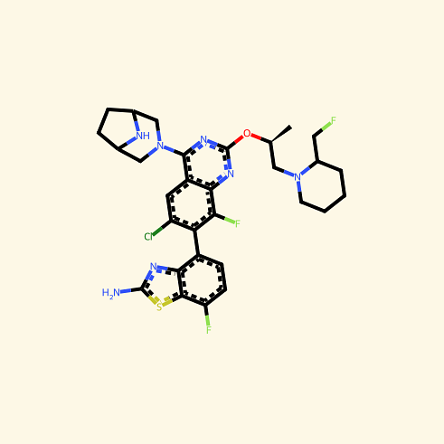 C[C@@H](CN1CCCCC1CF)Oc1nc(N2CC3CCC(C2)N3)c2cc(Cl)c(-c3ccc(F)c4sc(N)nc34)c(F)c2n1